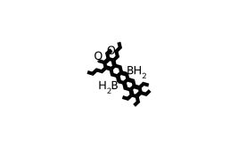 Bc1c2c(c(B)c3cc4c(CC)c(CC)c(CC)c(CC)c4cc13)Cc1c(CCCC)c(C=O)c(C=O)c(CCCC)c1C2